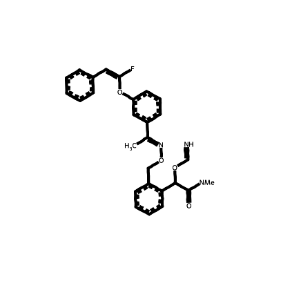 CNC(=O)C(OC=N)c1ccccc1CON=C(C)c1cccc(O/C(F)=C\c2ccccc2)c1